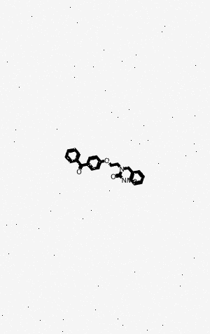 CNC(=O)N(CCOc1ccc(C(=O)c2ccccc2)cc1)Cc1ccccc1